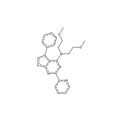 COCCN(CCOC)c1nc(-c2ccccn2)nc2scc(-c3ccccc3)c12